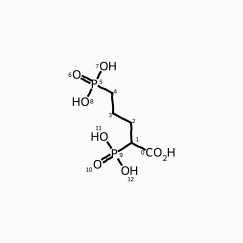 O=C(O)C(CCCP(=O)(O)O)P(=O)(O)O